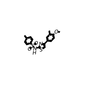 COc1ccc(-c2csc(NS(=O)(=O)c3ccc(C)cc3)n2)cc1C